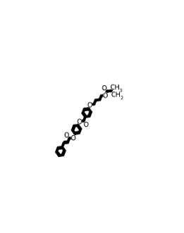 C=C(C)C(=O)OCCCCOc1ccc(C(=O)Oc2ccc(OC(=O)/C=C/c3ccccc3)cc2)cc1